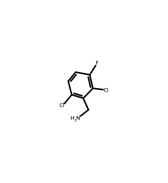 NCc1c(Cl)ccc(F)c1Cl